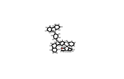 c1ccc2c(c1)Sc1cc3c(cc1C21c2ccccc2-c2ccccc21)c1c2ccccc2ccc1n3-c1ccc(-n2c3ccccc3c3ccccc32)cc1